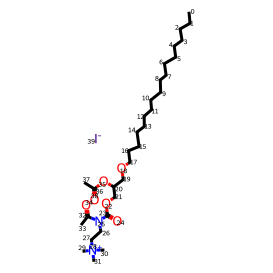 CCCCCCCCCCCCCCCCCCOCC(COC(=O)N(CC[N+](C)(C)C)C(C)=O)OC(C)=O.[I-]